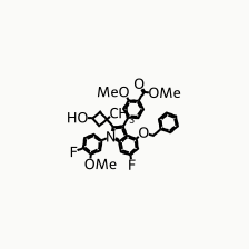 COC(=O)c1ccc(-c2c(C3(C)CC(O)C3)n(-c3ccc(F)c(OC)c3)c3cc(F)cc(OCc4ccccc4)c23)cc1OC